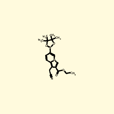 CCOC(=O)c1cn2cc(B3OC(C)(C)C(C)(C)O3)ccc2c1CC#N